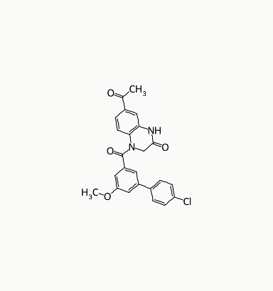 COc1cc(C(=O)N2CC(=O)Nc3cc(C(C)=O)ccc32)cc(-c2ccc(Cl)cc2)c1